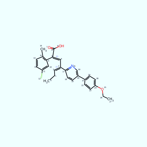 CC/C=C(/C=C(/C(=O)O)c1cc(F)ccc1C)c1ccc(-c2ccc(OCC)cc2)cn1